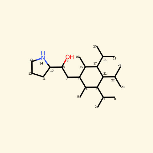 CC(C)C1C(C)C(CC(O)C2CCCN2)C(C)C(C(C)C)C1C(C)C